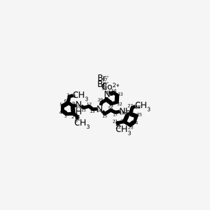 CCc1cccc(CC)c1NCCCN(CCCNc1c(CC)cccc1CC)Cc1ccccn1.[Br-].[Br-].[Co+2]